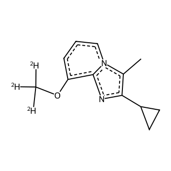 [2H]C([2H])([2H])Oc1cccn2c(C)c(C3CC3)nc12